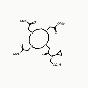 COC(=O)CN1CCN(CC(=O)OC)CCN(CC(=O)N(CC(=O)O)C2CC2)CCN(CC(=O)OC)CC1